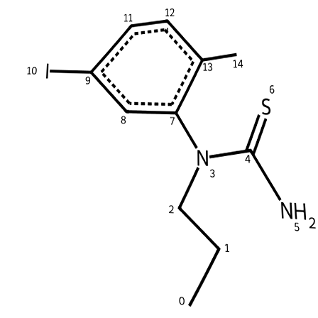 CCCN(C(N)=S)c1cc(I)ccc1C